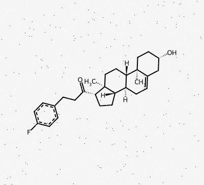 C[C@]12CC[C@H]3[C@@H](CC=C4C[C@@H](O)CC[C@@]43C)[C@@H]1CC[C@@H]2C(=O)CCc1ccc(F)cc1